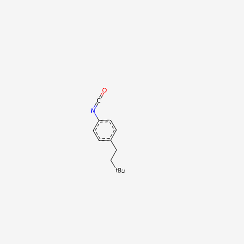 CC(C)(C)CCc1ccc(N=C=O)cc1